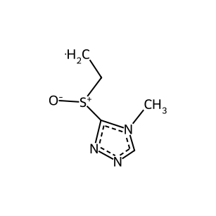 [CH2]C[S+]([O-])c1nncn1C